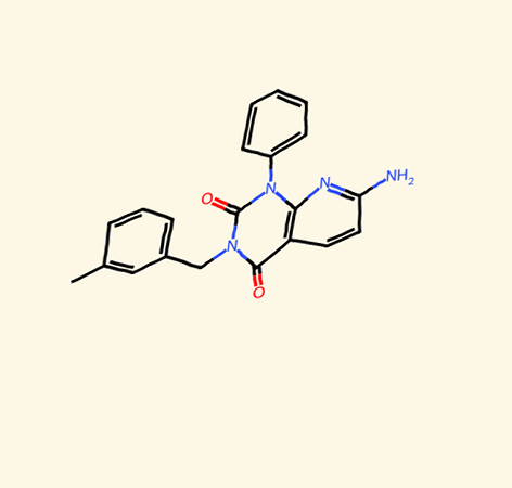 Cc1cccc(Cn2c(=O)c3ccc(N)nc3n(-c3ccccc3)c2=O)c1